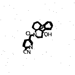 N#Cc1ccc(C(=O)N2CC[C@](O)(c3ccccc3)[C@H]3CCCCC32)cn1